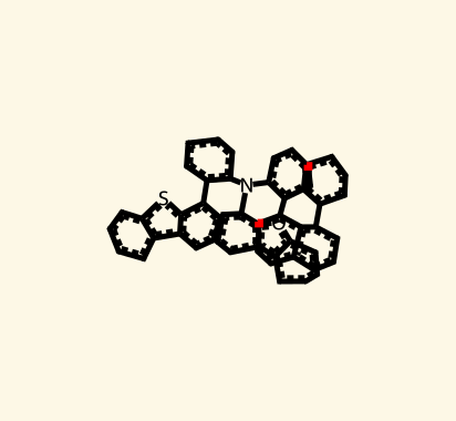 c1ccc(-c2cccc3cccc(-c4ccccc4N(c4ccccc4-c4cccc5c4sc4ccccc45)c4cccc5c4oc4ccccc45)c23)cc1